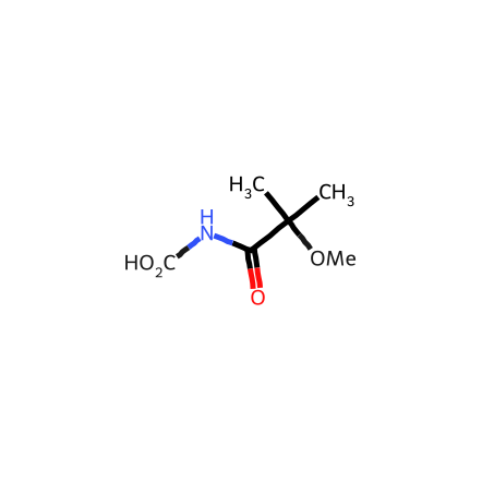 COC(C)(C)C(=O)NC(=O)O